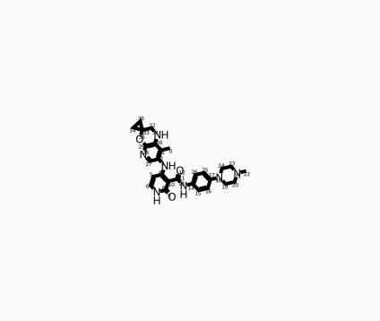 Cc1c(Nc2cc[nH]c(=O)c2C(=O)Nc2ccc(N3CCN(C)CC3)cc2)cnc2c1NCC1(CC1)O2